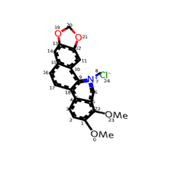 COc1ccc2c(c[n+](C)c3c4cc5c(cc4ccc23)OCO5)c1OC.[Cl-]